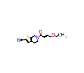 CCOC/C=C/C(=O)N1CCc2cc(C#N)sc2C1